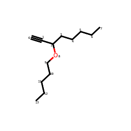 C#CC(CCCCC)OCCCCC